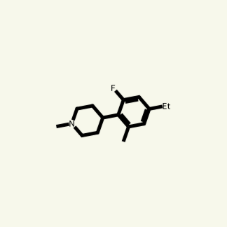 CCc1cc(C)c(C2CCN(C)CC2)c(F)c1